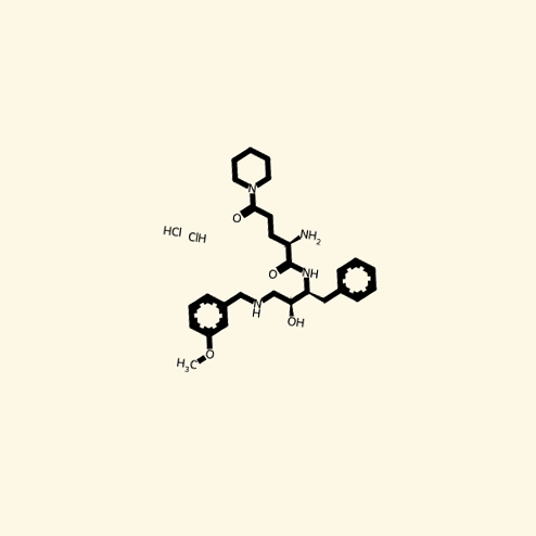 COc1cccc(CNC[C@H](O)[C@H](Cc2ccccc2)NC(=O)[C@H](N)CCC(=O)N2CCCCC2)c1.Cl.Cl